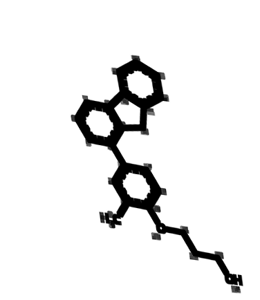 Cc1cc(-c2cccc3c2Cc2ccccc2-3)ccc1OCCCO